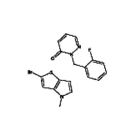 Cn1ccc2sc(Br)cc21.O=c1cccnn1Cc1ccccc1F